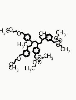 CCOP(=O)(Cc1ccc(C(CC(CC)c2cccc(CP(=O)(OCC)OCC)c2)CC(CC(C)c2cccc(COCCOC)c2)c2ccc(COCCOC)cc2)cc1)OCC